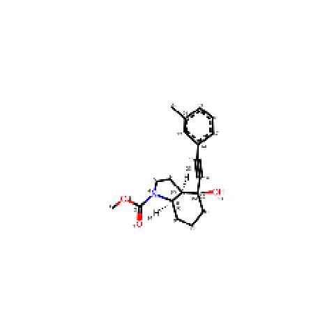 COC(=O)N1CC[C@@H]2[C@H]1CCC[C@@]2(O)C#Cc1cccc(C)c1